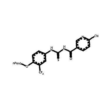 CCCCCOc1ccc(NC(=S)NC(=O)c2ccc(C#N)nc2)cc1C(F)(F)F